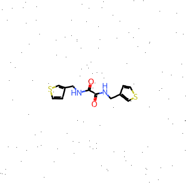 O=C(NCc1ccsc1)C(=O)NCc1ccsc1